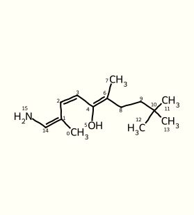 CC(/C=C\C(O)=C(/C)CCC(C)(C)C)=C/N